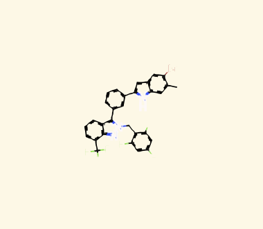 Cc1cc2[nH]c(-c3cccc(-c4c5cccc(C(F)(F)F)c5nn4Cc4c(F)cc(F)cc4F)c3)cc2cc1Br